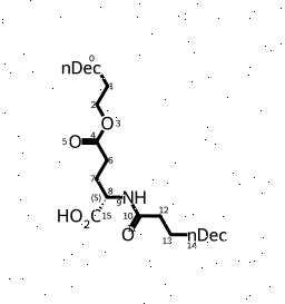 CCCCCCCCCCCCOC(=O)CC[C@H](NC(=O)CCCCCCCCCCCC)C(=O)O